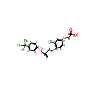 C=C(COc1ccc(C(F)(F)F)cc1)CSc1ccc(OCC(=O)O)cc1Cl